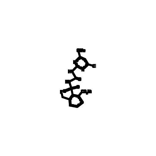 CCOC(=O)c1cccc(CF)c1S(=O)(=O)NC(=O)Nc1nc(Cl)cc(OC)n1